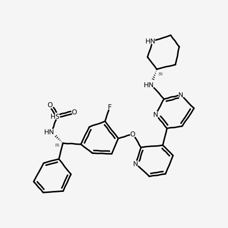 O=[SH](=O)N[C@@H](c1ccccc1)c1ccc(Oc2ncccc2-c2ccnc(N[C@H]3CCCNC3)n2)c(F)c1